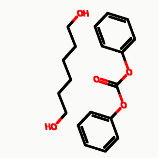 O=C(Oc1ccccc1)Oc1ccccc1.OCCCCCCO